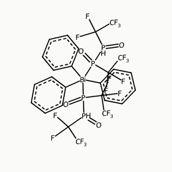 O=[PH](C(F)(F)C(F)(F)F)[P](=O)(C(F)(F)C(F)(F)F)[Bi]([c]1ccccc1)([c]1ccccc1)([c]1ccccc1)[P](=O)([PH](=O)C(F)(F)C(F)(F)F)C(F)(F)C(F)(F)F